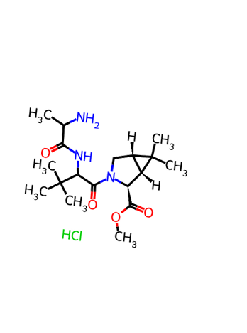 COC(=O)[C@@H]1[C@@H]2[C@H](CN1C(=O)C(NC(=O)C(C)N)C(C)(C)C)C2(C)C.Cl